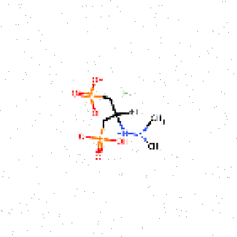 CCC(CP(=O)(O)O)(CP(=O)(O)O)NN(C)C.Cl